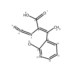 CC(=C(N=[N+]=[N-])C(=O)O)c1cccnc1Cl